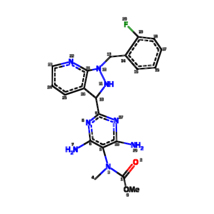 COC(=O)N(C)c1c(N)nc(C2NN(Cc3ccccc3F)c3ncccc32)nc1N